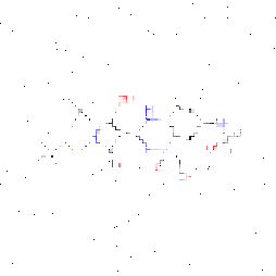 CC(C)(C)CCN1C(=O)C(C2=NP(=O)(CO)c3cc(NS(C)(=O)=O)ccc3N2)=C(O)[C@@H]1C(C)(C)C